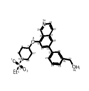 CCS(=O)(=O)N1CCC(Oc2cc(-c3cccc(CO)c3)cc3ccncc23)CC1